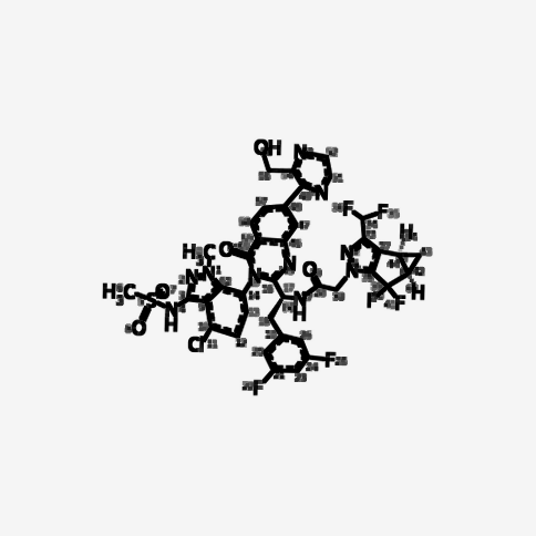 Cn1nc(NS(C)(=O)=O)c2c(Cl)ccc(-n3c([C@H](Cc4cc(F)cc(F)c4)NC(=O)Cn4nc(C(F)F)c5c4C(F)(F)[C@@H]4C[C@H]54)nc4cc(-c5nccnc5CO)ccc4c3=O)c21